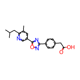 Cc1cc(-c2nc(-c3ccc(CC(=O)O)cc3)no2)cnc1CC(C)C